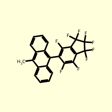 Cc1c2ccccc2c(-c2c(F)c(F)c3c(c2F)C(F)(F)C(F)(F)C3(F)F)c2ccccc12